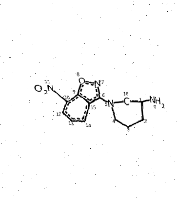 NC1CCCN(c2noc3c([N+](=O)[O-])cccc23)C1